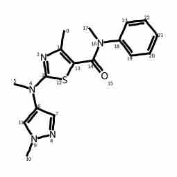 Cc1nc(N(C)c2cnn(C)c2)sc1C(=O)N(C)c1ccccc1